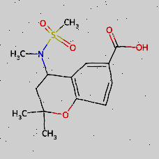 CN(C1CC(C)(C)Oc2ccc(C(=O)O)cc21)S(C)(=O)=O